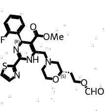 COC(=O)C1=C(CN2CCO[C@@H](CCOC=O)C2)NC(c2nccs2)=N[C@H]1c1ccccc1F